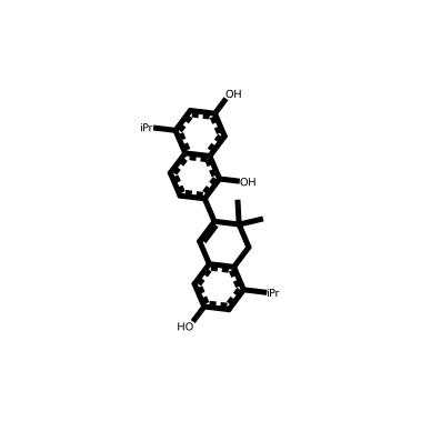 CC(C)c1cc(O)cc2c1CC(C)(C)C(c1ccc3c(C(C)C)cc(O)cc3c1O)=C2